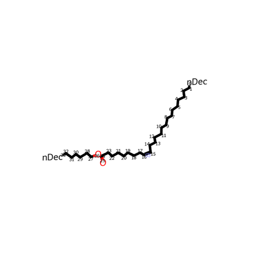 CCCCCCCCCCCCCCCCCCCCCCCC/C=C\CCCCCCCC(=O)OCCCCCCCCCCCCCCCC